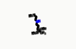 CNCCNCCC[Si](C)(OC)OC